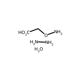 NN.NOCC(=O)O.O